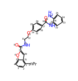 CCCc1cccc2oc(C(=O)NCCOc3ccc(C(=O)Nc4ccccc4N)cc3)cc12